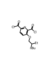 CCCCC(CC)COc1ccc(C(=O)Cl)nc1C(=O)Cl